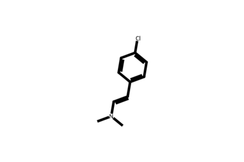 CN(C)/C=C/c1ccc(Cl)cc1